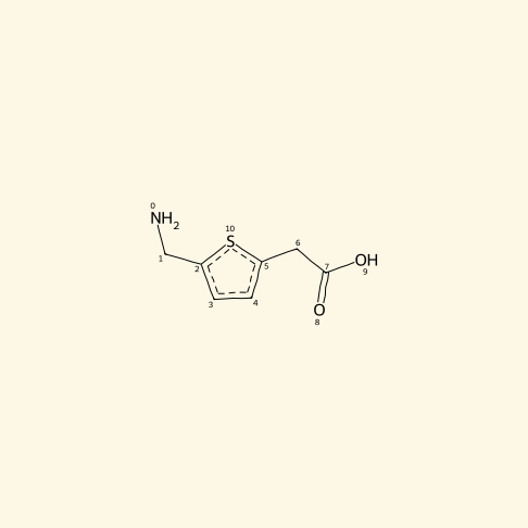 NCc1ccc(CC(=O)O)s1